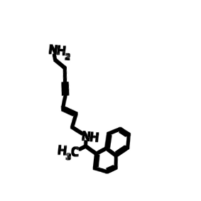 CC(NCC=CC#CCCN)c1cccc2ccccc12